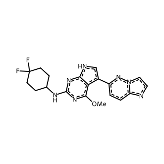 COc1nc(NC2CCC(F)(F)CC2)nc2[nH]cc(-c3ccc4nccn4n3)c12